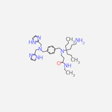 CCCC(CCC)(CCCN)N(CCC(=O)NCC)Cc1ccc(CN(Cc2ncc[nH]2)Cc2ncc[nH]2)cc1